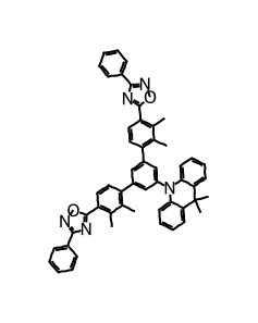 Cc1c(-c2cc(-c3ccc(-c4nc(-c5ccccc5)no4)c(C)c3C)cc(N3c4ccccc4C(C)(C)c4ccccc43)c2)ccc(-c2nc(-c3ccccc3)no2)c1C